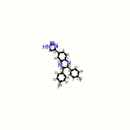 Fc1ccc(-c2nc3ccc(-c4c[nH]nn4)cc3nc2-c2ccc(F)cc2)cc1